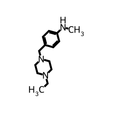 CCN1CCN(Cc2ccc(NC)cc2)CC1